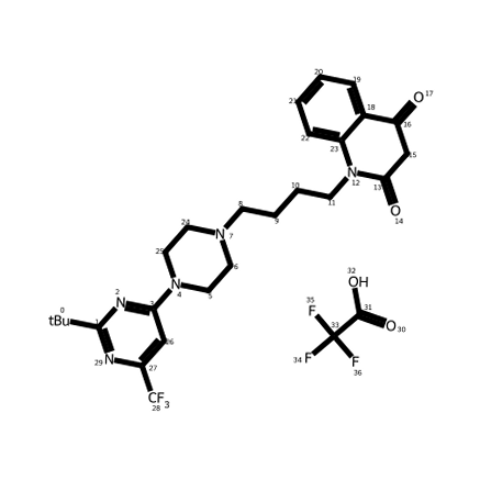 CC(C)(C)c1nc(N2CCN(CCCCN3C(=O)CC(=O)c4ccccc43)CC2)cc(C(F)(F)F)n1.O=C(O)C(F)(F)F